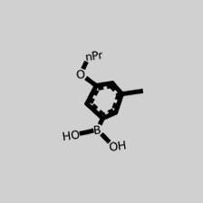 CCCOc1cc(C)cc(B(O)O)c1